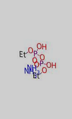 CCOP(=O)(O)OP(=O)(O)OCC.N.N